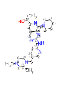 CC(O)c1cc2cnc(Nc3ccc(CN4CCN(C)C[C@H]4C)cn3)nc2c(N2CCCCC2)n1